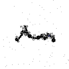 CN[C@H](C(=O)NC(C(=O)N(C)[C@H](/C=C(\C)C(=O)NS(=O)(=O)Cc1ccccc1)C(C)C)C(C)(C)C)C(C)(C)c1ccc(CNC(=O)OCc2ccc(NC(=O)[C@@H](CCCNC(N)=O)NC(=O)C(NC(=O)CCCCCN3C(=O)C=CC3=O)C(C)C)cc2)cc1